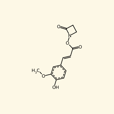 COc1cc(C=CC(=O)ON2CCC2=O)ccc1O